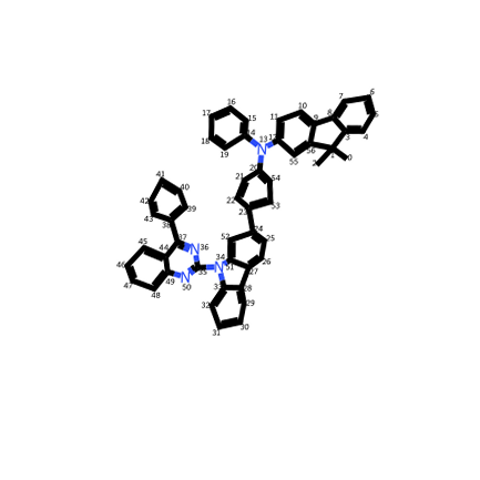 CC1(C)c2ccccc2-c2ccc(N(c3ccccc3)c3ccc(-c4ccc5c6ccccc6n(-c6nc(-c7ccccc7)c7ccccc7n6)c5c4)cc3)cc21